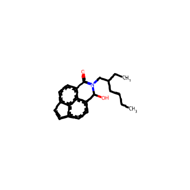 CCCCC(CC)CN1C(=O)c2ccc3c4c(ccc(c24)C1O)C=C3